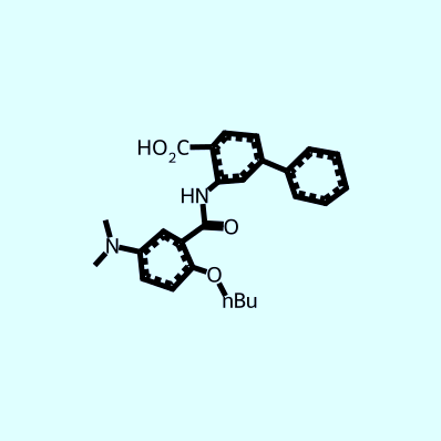 CCCCOc1ccc(N(C)C)cc1C(=O)Nc1cc(-c2ccccc2)ccc1C(=O)O